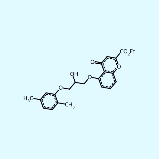 CCOC(=O)c1cc(=O)c2c(OCC(O)COc3cc(C)ccc3C)cccc2o1